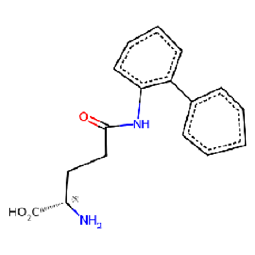 N[C@@H](CCC(=O)Nc1ccccc1-c1ccccc1)C(=O)O